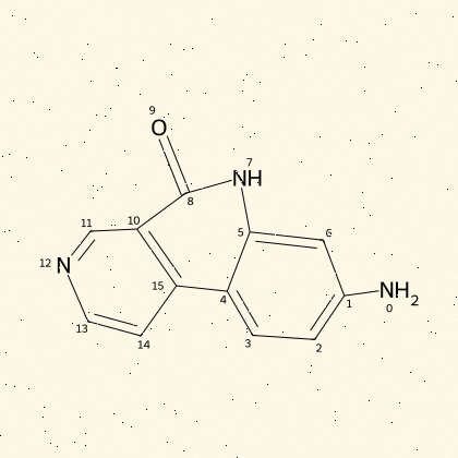 Nc1ccc2c(c1)[nH]c(=O)c1cnccc12